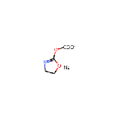 O=C([O-])OC1=NCCO1.[Na+]